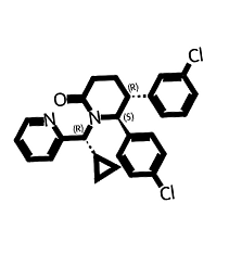 O=C1CC[C@H](c2cccc(Cl)c2)[C@@H](c2ccc(Cl)cc2)N1[C@@H](c1ccccn1)C1CC1